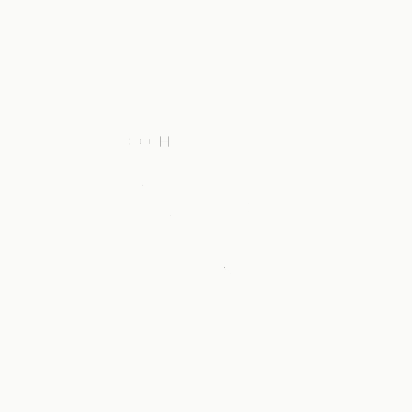 O=C(O)C1CC1c1cccs1